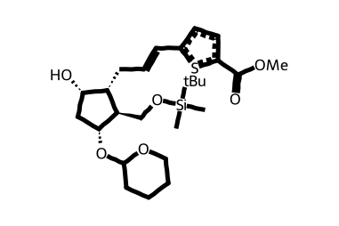 COC(=O)c1ccc(C=CC[C@@H]2[C@@H](CO[Si](C)(C)C(C)(C)C)[C@H](OC3CCCCO3)C[C@@H]2O)s1